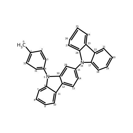 Cc1ccc(-n2c3ccccc3c3ccc(-n4c5ccccc5c5ccccc54)cc32)cc1